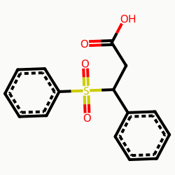 O=C(O)CC(c1ccccc1)S(=O)(=O)c1ccccc1